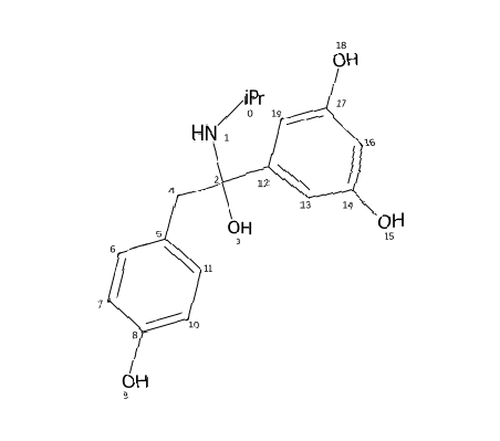 CC(C)NC(O)(Cc1ccc(O)cc1)c1cc(O)cc(O)c1